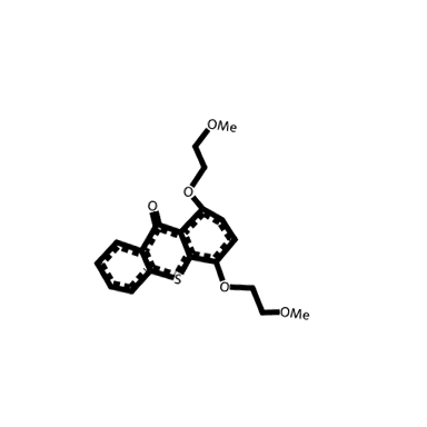 COCCOc1ccc(OCCOC)c2c(=O)c3ccccc3sc12